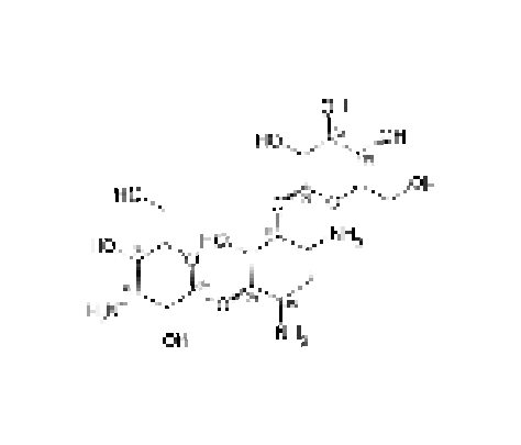 NC1C[C@@H](N)[C@@H](O[C@H]2OC(CO)[C@@H](O)[C@@H](N)C2O)C(O)[C@@H]1O[C@@H]1OC(CO)[C@@H](O)[C@H](O)C1O